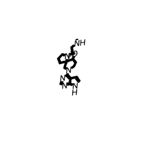 CNCC(=O)N1CCCC12CN(c1ncnc3[nH]ccc13)CCC2(F)F